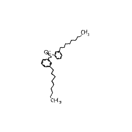 CCCCCCCCCc1cccc([S+]([O-])c2cccc(CCCCCCCCC)c2)c1